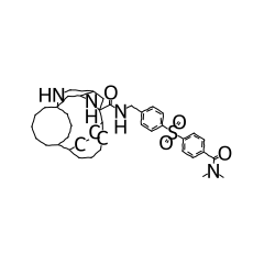 CN(C)C(=O)c1ccc(S(=O)(=O)c2ccc(CNC(=O)C34CC5CNC6(CCCCCC(CCC6)C6CCCCC3CCC6)CC5N4)cc2)cc1